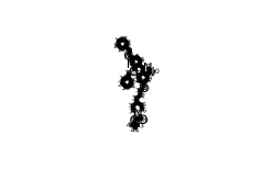 Cn1nc(-c2ccc(OCc3ccccc3)nc2OCc2ccccc2)c2ccc(OCCCC3CCN(C(=O)OC(C)(C)C)CC3)cc21